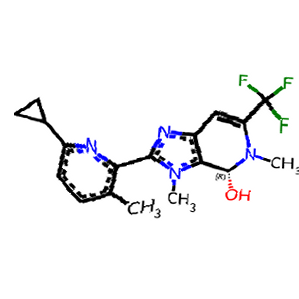 Cc1ccc(C2CC2)nc1-c1nc2c(n1C)[C@@H](O)N(C)C(C(F)(F)F)=C2